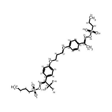 CCCCS(=O)(=O)O/N=C(/c1ccc(OCCCOc2ccc(/C(C)=N/OS(=O)(=O)CCC)cc2)cc1)C(F)(F)F